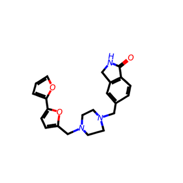 O=C1NCc2cc(CN3CCN(Cc4ccc(-c5ccco5)o4)CC3)ccc21